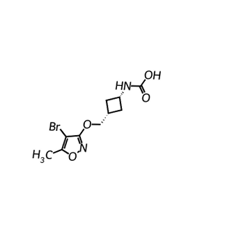 Cc1onc(OC[C@H]2C[C@@H](NC(=O)O)C2)c1Br